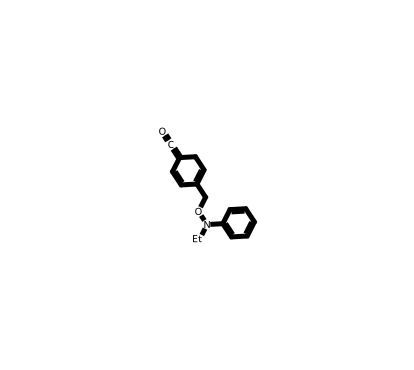 CCN(OCC1=CCC(=C=O)C=C1)c1ccccc1